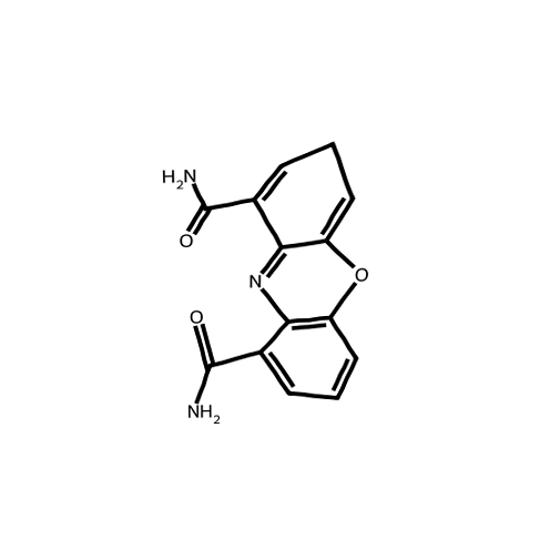 NC(=O)C1=CCC=C2Oc3cccc(C(N)=O)c3N=C21